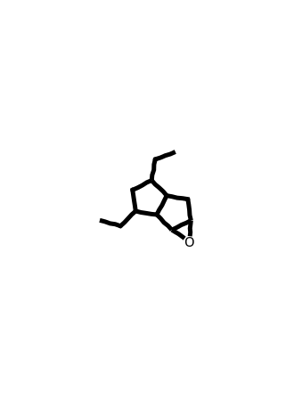 CCC1CC(CC)C2C1CC1OC12